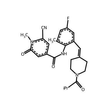 Cc1cc(F)cc(C=C2CCN(C(=O)C(C)C)CC2)c1NC(=O)c1cc(C#N)n(C)c(=O)c1